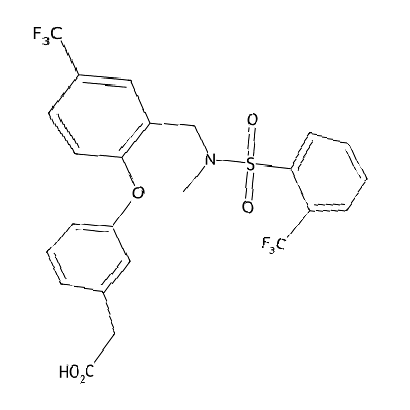 CN(Cc1cc(C(F)(F)F)ccc1Oc1cccc(CC(=O)O)c1)S(=O)(=O)c1ccccc1C(F)(F)F